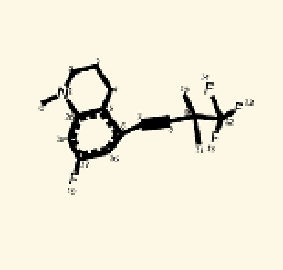 CN1CCCc2c(C#CC(C)(C)C(F)(F)F)cc(F)cc21